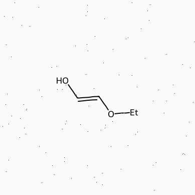 CCOC=CO